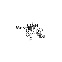 CCCCN(CC1CCCCC1)C(=O)Cc1ccc(C(=O)N[C@@H](CCSC)C(=O)O)c(-c2ccccc2C)c1.[LiH]